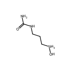 NC(=O)NCCC[SiH2]O